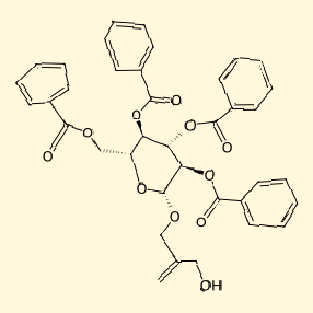 C=C(CO)CO[C@@H]1O[C@H](COC(=O)c2ccccc2)[C@@H](OC(=O)c2ccccc2)[C@H](OC(=O)c2ccccc2)[C@H]1OC(=O)c1ccccc1